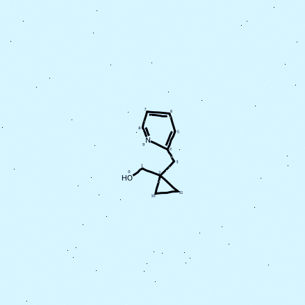 OCC1(Cc2ccccn2)CC1